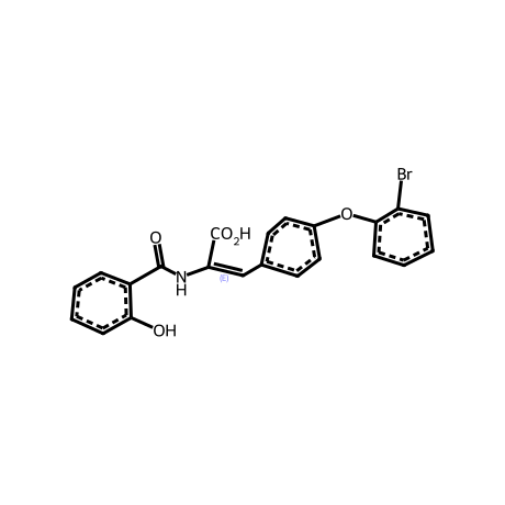 O=C(O)/C(=C\c1ccc(Oc2ccccc2Br)cc1)NC(=O)c1ccccc1O